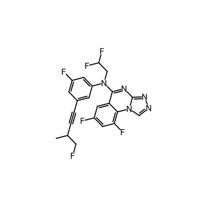 CC(C#Cc1cc(F)cc(N(CC(F)F)c2nc3nncn3c3c(F)cc(F)cc23)c1)CF